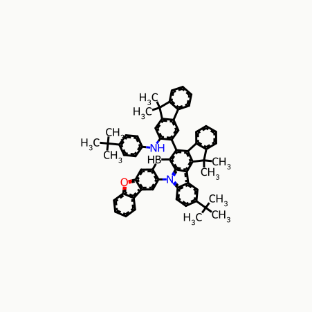 CC(C)(C)c1ccc(Nc2cc3c(cc2-c2c4c(c5c6cc(C(C)(C)C)ccc6n6c5c2Bc2cc5oc7ccccc7c5cc2-6)C(C)(C)c2ccccc2-4)-c2ccccc2C3(C)C)cc1